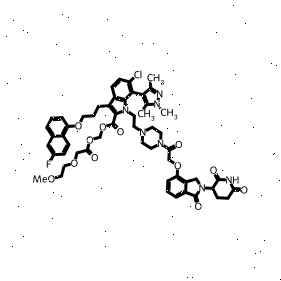 COCCOCC(=O)OCOC(=O)c1c(CCCOc2cccc3cc(F)ccc23)c2ccc(Cl)c(-c3c(C)nn(C)c3C)c2n1CCN1CCN(C(=O)COc2cccc3c2CN(C2CCC(=O)NC2=O)C3=O)CC1